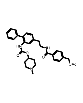 CC(=O)OCc1ccc(C(=O)NCCc2ccc(-c3ccccc3)c(NC(=O)OC3CCN(C)CC3)c2)cc1